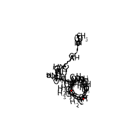 C=C1C[C@@H]2CC[C@@]34CC[C@H]5C6O[C@H]7CC[C@H](CC(=O)C[C@@H]8[C@@H](OC)[C@@H](C[C@H](O)CNC(=O)CNC(=O)[C@H](Cc9ccccc9)NC(=O)CNC(=O)CNC(=O)CCCCCNC(=O)CCCC#Cc9cnc(S(C)(=O)=O)nc9)O[C@H]8C[C@H]8O[C@@H](CC[C@@H]1O2)C[C@@H](C)C8=C)O[C@@H]7[C@H](O3)[C@@H]6C5O4